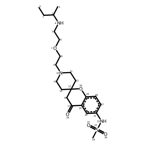 CCC(C)NCCOCCN1CCC2(CC1)CC(=O)c1cc(NS(C)(=O)=O)ccc1O2